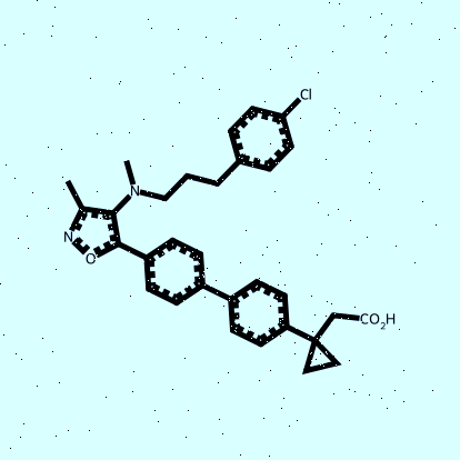 Cc1noc(-c2ccc(-c3ccc(C4(CC(=O)O)CC4)cc3)cc2)c1N(C)CCCc1ccc(Cl)cc1